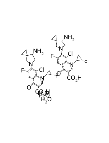 N[C@@H]1CN(c2c(F)cc3c(=O)c(C(=O)O)cn(C4C[C@@H]4F)c3c2Cl)CC12CC2.N[C@@H]1CN(c2c(F)cc3c(=O)c(C(=O)O)cn(C4C[C@@H]4F)c3c2Cl)CC12CC2.O.O.O